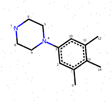 Cc1cc(N2CC[N]CC2)cc(C)c1C